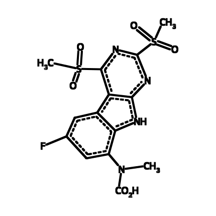 CN(C(=O)O)c1cc(F)cc2c1[nH]c1nc(S(C)(=O)=O)nc(S(C)(=O)=O)c12